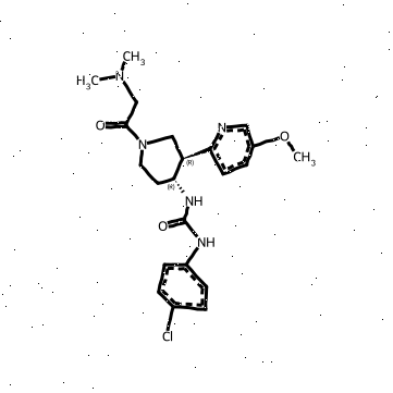 COc1ccc([C@@H]2CN(C(=O)CN(C)C)CC[C@H]2NC(=O)Nc2ccc(Cl)cc2)nc1